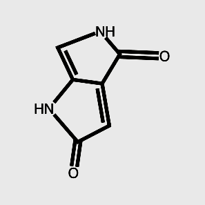 O=C1C=C2C(=O)NC=C2N1